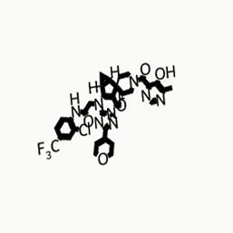 Cc1ncnc(C(=O)N2CC[C@]3(c4c(n(CC(=O)Nc5ccc(C(F)(F)F)cc5Cl)c5nc(C6=CCOCC6)nn5c4=O)[C@H]4C[C@H]43)[C@@H](F)C2)c1O